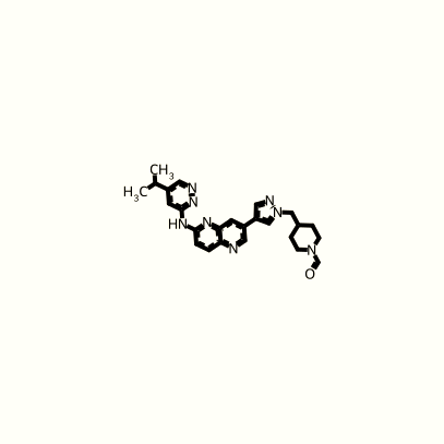 CC(C)c1cnnc(Nc2ccc3ncc(-c4cnn(CC5CCN(C=O)CC5)c4)cc3n2)c1